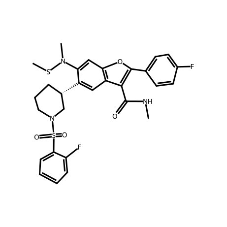 CNC(=O)c1c(-c2ccc(F)cc2)oc2cc(N(C)SC)c([C@H]3CCCN(S(=O)(=O)c4ccccc4F)C3)cc12